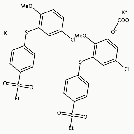 CCS(=O)(=O)c1ccc(Sc2cc(Cl)ccc2OC)cc1.CCS(=O)(=O)c1ccc(Sc2cc(Cl)ccc2OC)cc1.O=C([O-])[O-].[K+].[K+]